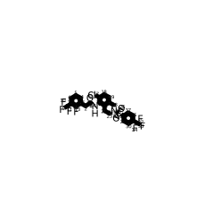 O=C(Cc1cccc(C(F)(F)F)c1F)Nc1c(Cl)ccc2c1CCN(S(=O)(=O)c1ccc(C(F)(F)F)cc1)C2